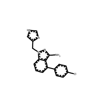 Nc1nn(Cc2c[nH]cn2)c2cccc(-c3ccc(Cl)cc3)c12